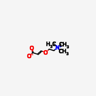 C[N+](C)(C)CCOC=CC(=O)[O-]